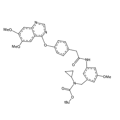 COc1cc(CN(C(=O)OC(C)(C)C)C2CC2)cc(NC(=O)Cc2ccc(Oc3ncnc4cc(OC)c(OC)cc34)cc2)c1